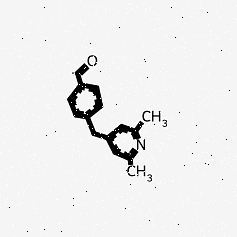 Cc1cc(Cc2ccc([C]=O)cc2)cc(C)n1